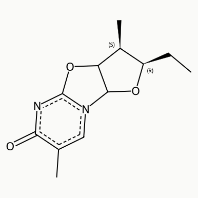 CC[C@H]1OC2C(Oc3nc(=O)c(C)cn32)[C@H]1C